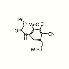 COCc1cc(NC(=O)OC(C)C)c(OC)c(Cl)c1C#N